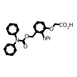 CCCc1c(COC(=O)N(c2ccccc2)c2ccccc2)cccc1OCC(=O)O